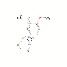 COc1ccc(C2N3CCCN2CC3)cc1OC